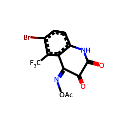 CC(=O)ON=C1C(=O)C(=O)Nc2ccc(Br)c(C(F)(F)F)c21